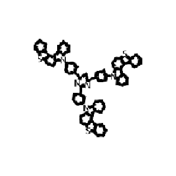 c1cc(-c2nc(-c3ccc(-n4c5ccccc5c5c6c(ccc54)sc4ccccc46)cc3)cc(-c3ccc(-n4c5ccccc5c5c6c(ccc54)sc4ccccc46)cc3)n2)cc(-n2c3ccccc3c3c4c(ccc32)sc2ccccc24)c1